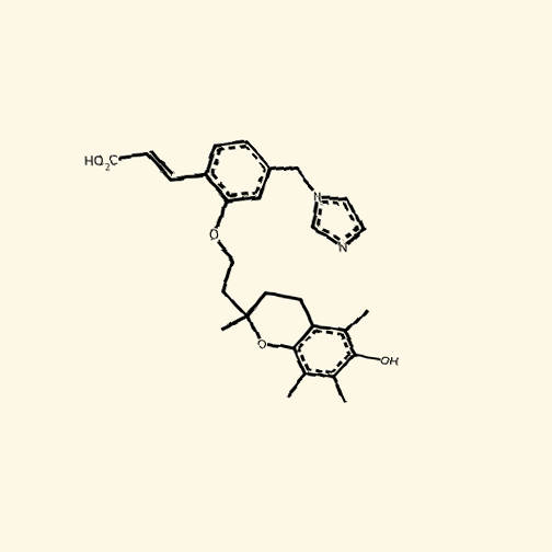 Cc1c(C)c2c(c(C)c1O)CCC(C)(CCOc1cc(Cn3ccnc3)ccc1C=CC(=O)O)O2